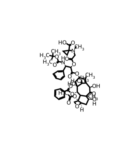 CC(=O)O[C@@]12CO[C@@H]1C[C@H](O)[C@@]1(C)C(=O)[C@H](O)C3=C(C)[C@@H](OC(=O)[C@H](OC(=O)CN(C)C4(C(=O)O)CC4)[C@@H](NC(=O)OC(C)(C)C)c4ccccc4)C[C@@](O)([C@@H](OC(=O)c4ccccc4)C12)C3(C)C